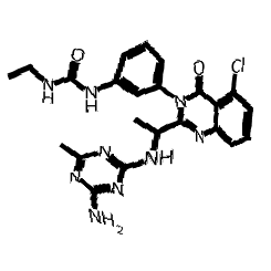 CCNC(=O)Nc1cccc(-n2c(C(C)Nc3nc(C)nc(N)n3)nc3cccc(Cl)c3c2=O)c1